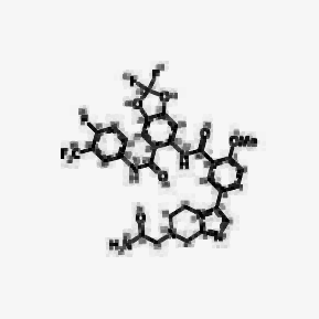 COc1ccc(-c2cnc3n2CCN(CC(N)=O)C3)cc1C(=O)Nc1cc2c(cc1C(=O)Nc1ccc(F)c(C(F)(F)F)c1)OC(F)(F)O2